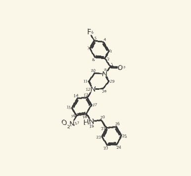 O=C(c1ccc(F)cc1)N1CCN(c2ccc([N+](=O)[O-])c(NCc3ccccc3)c2)CC1